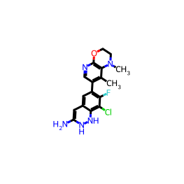 Cc1c(-c2cc3c(c(Cl)c2F)NNC(N)=C3)cnc2c1N(C)CCO2